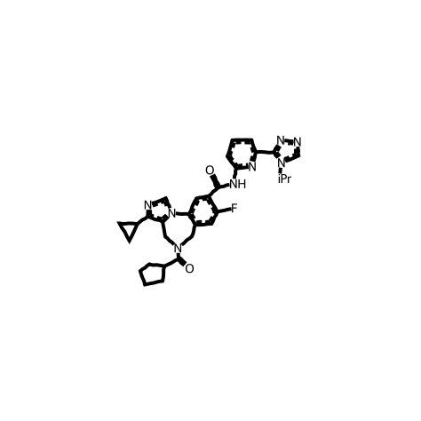 CC(C)n1cnnc1-c1cccc(NC(=O)c2cc3c(cc2F)CN(C(=O)C2CCCC2)Cc2c(C4CC4)ncn2-3)n1